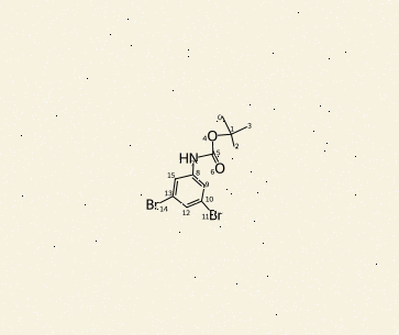 CC(C)(C)OC(=O)Nc1cc(Br)cc(Br)c1